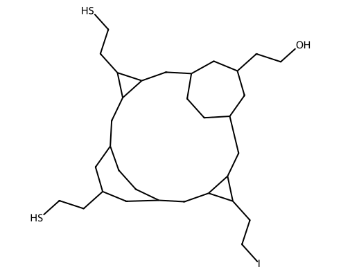 OCCC1CC2CCC(C1)CC1C(CCI)C1CC1CCC(CC(CCS)C1)CC1C(CCS)C1C2